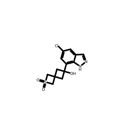 O=S1(=O)CC2(CC(O)(c3cc(Cl)cc4cn[nH]c34)C2)C1